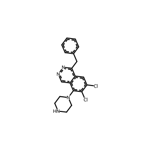 Clc1cc2c(Cc3ccccc3)nncc2c(N2CCNCC2)c1Cl